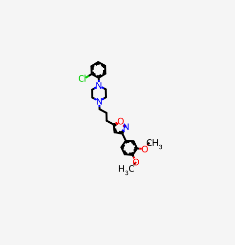 COc1ccc(-c2cc(CCCN3CCN(c4ccccc4Cl)CC3)on2)cc1OC